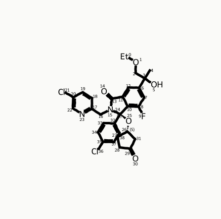 CCOCC(C)(O)c1cc(F)c2c(c1)C(=O)N(Cc1ccc(Cl)cn1)[C@@]2(O[C@H]1CCC(=O)C1)c1ccc(Cl)cc1